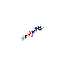 O=C(CO[C@H]1C[C@@H](OC(F)(F)F)C1)NC12CC(c3nnc(-c4ccc(Cl)c(F)c4)o3)(C1)C2